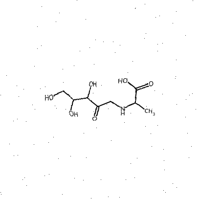 CC(NCC(=O)C(O)C(O)CO)C(=O)O